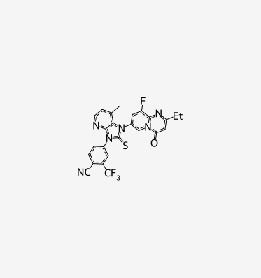 CCc1cc(=O)n2cc(-n3c(=S)n(-c4ccc(C#N)c(C(F)(F)F)c4)c4nccc(C)c43)cc(F)c2n1